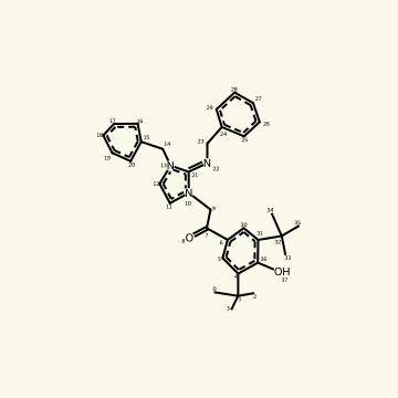 CC(C)(C)c1cc(C(=O)Cn2ccn(Cc3ccccc3)/c2=N\Cc2ccccc2)cc(C(C)(C)C)c1O